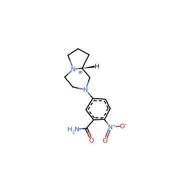 NC(=O)c1cc(N2CCN3CCC[C@@H]3C2)ccc1[N+](=O)[O-]